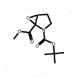 COC(=O)C12OC1CCN2C(=O)OC(C)(C)C